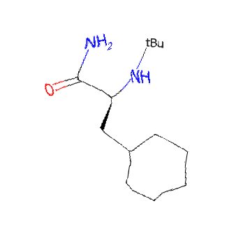 CC(C)(C)N[C@@H](CC1CCCCC1)C(N)=O